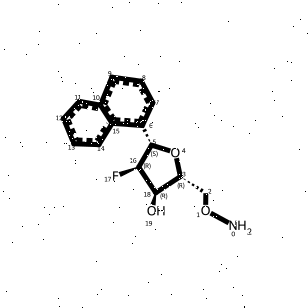 NOC[C@H]1O[C@@H](c2cccc3ccccc23)[C@H](F)[C@@H]1O